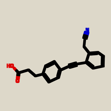 N#CCc1ccccc1C#Cc1ccc(CCC(=O)O)cc1